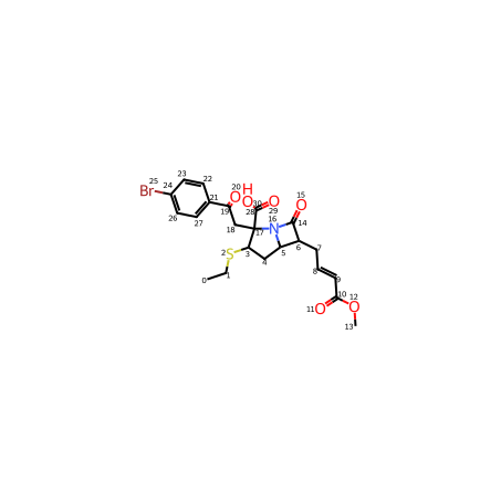 CCSC1CC2C(CC=CC(=O)OC)C(=O)N2C1(CC(=O)c1ccc(Br)cc1)C(=O)O